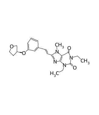 CCn1c(=O)c2c(nc(/C=C/c3cccc(O[C@H]4CCOC4)c3)n2C)n(CC)c1=O